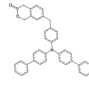 O=S1Cc2ccc(Cc3ccc(N(c4ccc(-c5ccccc5)cc4)c4ccc(-c5ccccc5)cc4)cc3)cc2CO1